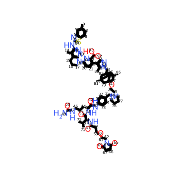 Cc1ccc2sc(Nc3nnc4c(c3C)CCCN4c3ccc(-c4cnn(CC56CC7(OCC[N+]8(Cc9ccc(NC(=O)[C@H](CCCNC(N)=O)NC(=O)[C@@H](NC(=O)CCOCCN%10C(=O)C=CC%10=O)C(C)C)cc9)CCCC8)C[C@](C)(C5)C[C@](C)(C6)C7)c4C)c(C(=O)O)n3)nc2c1